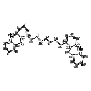 c1ccc2nc3cccc(CCCCCCCc4cccc5nc6ccccc6cc45)c3cc2c1